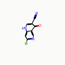 N#Cc1c[nH]c2cc(Br)ncc2c1=O